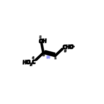 O=[C]/C=C(\O)C(=O)O